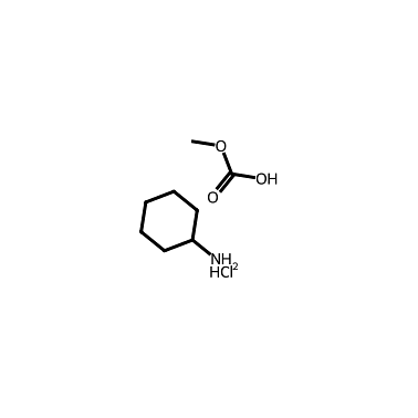 COC(=O)O.Cl.NC1CCCCC1